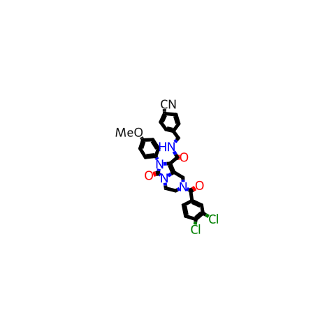 COc1ccc(-n2c(C(=O)NCc3ccc(C#N)cc3)c3n(c2=O)CCN(C(=O)c2ccc(Cl)c(Cl)c2)C3)cc1